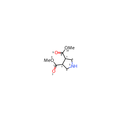 COC(=O)C1CNCC1C(=O)OC